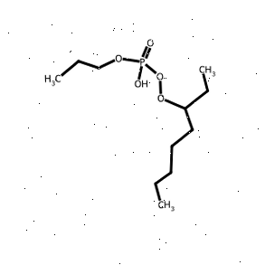 CCCCCC(CC)OOP(=O)(O)OCCC